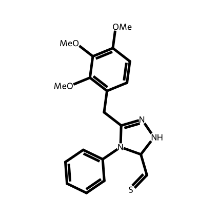 COc1ccc(CC2=NNC(C=S)N2c2ccccc2)c(OC)c1OC